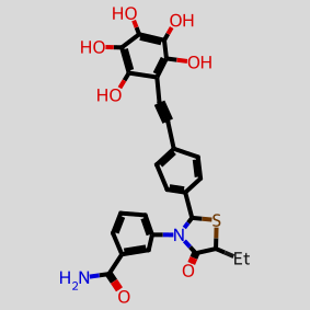 CCC1SC(c2ccc(C#Cc3c(O)c(O)c(O)c(O)c3O)cc2)N(c2cccc(C(N)=O)c2)C1=O